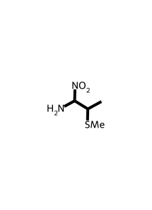 CSC(C)C(N)[N+](=O)[O-]